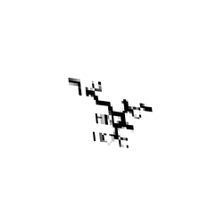 C=C(OCC)c1c(/C=C/C(=O)OCC)[nH]c(C(=O)O)c1C